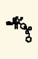 CC(C)(C)[S+]([O-])N[C@@H](C(F)F)C1CCN(C(=O)OCc2ccccc2)CC1